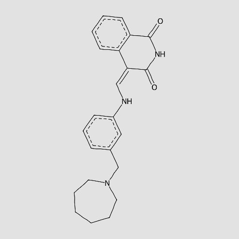 O=C1NC(=O)c2ccccc2C1=CNc1cccc(CN2CCCCCC2)c1